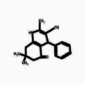 CC1=C(C#N)C(c2ccccc2)C2=C(CC(C)(C)CC2=O)N1